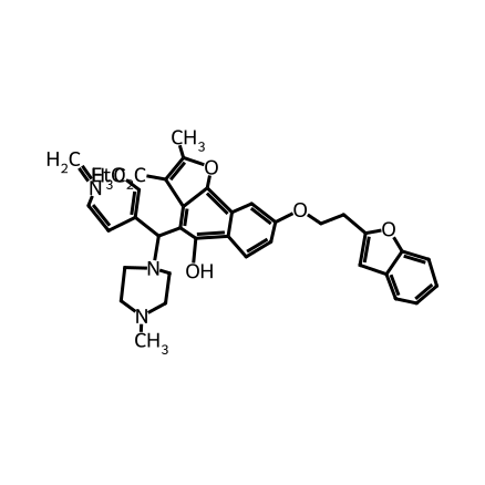 C=N/C=C\C(=C/C)C(c1c(O)c2ccc(OCCc3cc4ccccc4o3)cc2c2oc(C)c(C(=O)OCC)c12)N1CCN(C)CC1